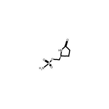 NS(=O)(=O)OC[C@@H]1CCC(=O)N1